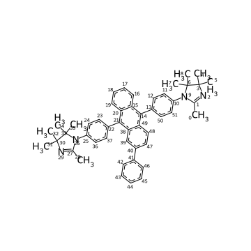 CC1=NC(C)(C)C(C)(C)N1c1ccc(-c2c3ccccc3c(-c3ccc(N4C(C)=NC(C)(C)C4(C)C)cc3)c3cc(-c4ccccc4)ccc23)cc1